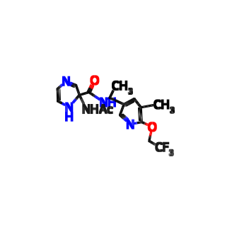 CC(=O)NC1(C(=O)NC(C)c2cnc(OCC(F)(F)F)c(C)c2)C=NC=CN1